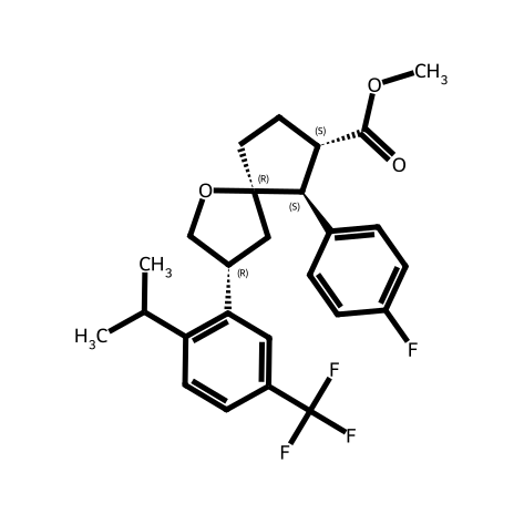 COC(=O)[C@H]1CC[C@@]2(C[C@H](c3cc(C(F)(F)F)ccc3C(C)C)CO2)[C@@H]1c1ccc(F)cc1